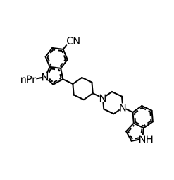 CCCn1cc(C2CCC(N3CCN(c4cccc5[nH]ccc45)CC3)CC2)c2cc(C#N)ccc21